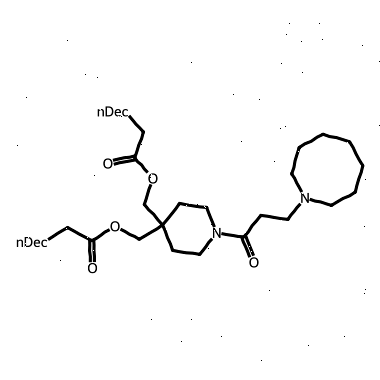 CCCCCCCCCCCC(=O)OCC1(COC(=O)CCCCCCCCCCC)CCN(C(=O)CCN2CCCCCCC2)CC1